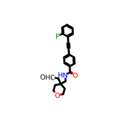 O=CCC1(CNC(=O)c2ccc(C#Cc3ccccc3F)cc2)CCOCC1